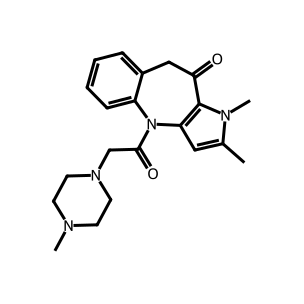 Cc1cc2c(n1C)C(=O)Cc1ccccc1N2C(=O)CN1CCN(C)CC1